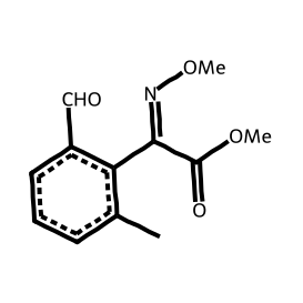 CON=C(C(=O)OC)c1c(C)cccc1C=O